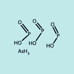 O=PO.O=PO.O=PO.[AsH3]